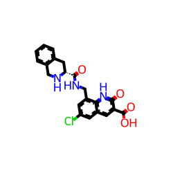 O=C(O)c1cc2cc(Cl)cc(CNC(=O)[C@H]3Cc4ccccc4CN3)c2[nH]c1=O